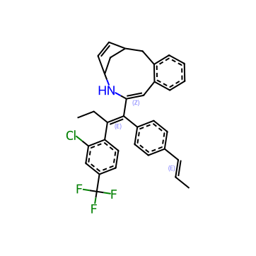 C/C=C/c1ccc(C(/C2=C/c3ccccc3CC3C=CC(C3)N2)=C(/CC)c2ccc(C(F)(F)F)cc2Cl)cc1